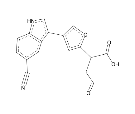 N#Cc1ccc2[nH]cc(-c3coc(C(CC=O)C(=O)O)c3)c2c1